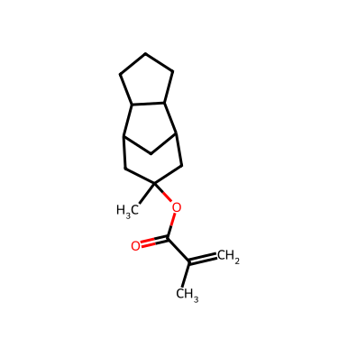 C=C(C)C(=O)OC1(C)CC2CC(C1)C1CCCC21